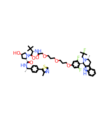 Cc1ncsc1-c1ccc([C@H](C)NC(=O)[C@@H]2C[C@@H](O)CN2C(=O)[C@@H](NC(=O)COCCCOCCCOc2cc(F)c([C@@H]3c4[nH]c5ccccc5c4C[C@@H](C)N3CC(C)(C)F)c(F)c2)C(C)(C)C)cc1